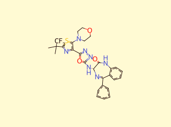 CC(C)(c1nc(-c2nnc(N[C@H]3N=C(c4ccccc4)c4ccccc4NC3=O)o2)c(N2CCOCC2)s1)C(F)(F)F